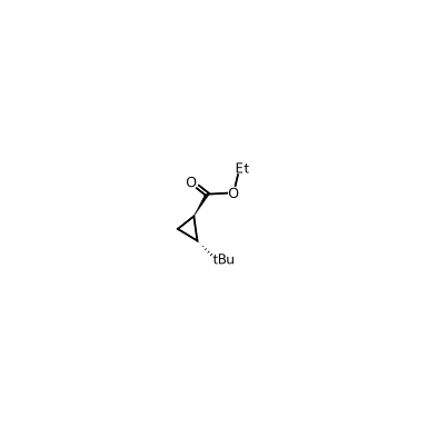 CCOC(=O)[C@@H]1C[C@H]1C(C)(C)C